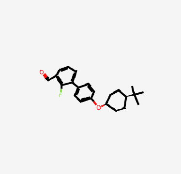 CC(C)(C)[C@H]1CC[C@@H](Oc2ccc(-c3cccc(C=O)c3F)cc2)CC1